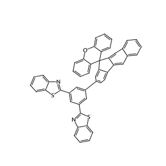 c1ccc2c(c1)Oc1ccccc1C21c2cc(-c3cc(-c4nc5ccccc5s4)cc(-c4nc5ccccc5s4)c3)ccc2-c2cc3ccccc3cc21